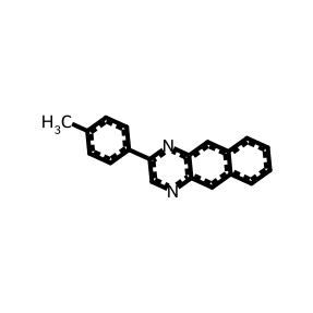 Cc1ccc(-c2cnc3cc4ccccc4cc3n2)cc1